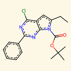 CCc1cc2c(Cl)nc(-c3ccccc3)nc2n1C(=O)OC(C)(C)C